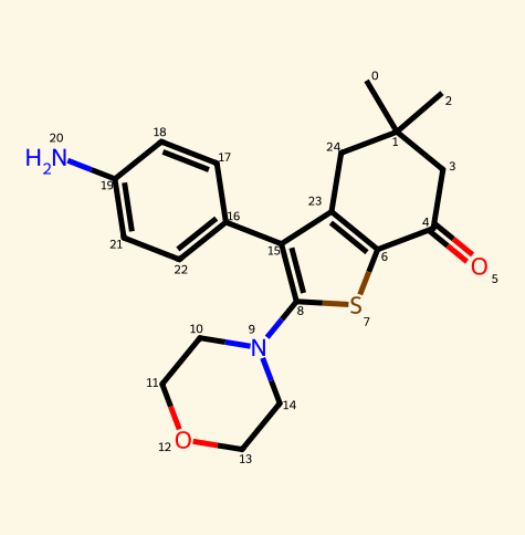 CC1(C)CC(=O)c2sc(N3CCOCC3)c(-c3ccc(N)cc3)c2C1